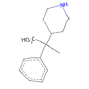 CC(C(=O)O)(c1ccccc1)C1CCNCC1